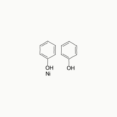 Oc1ccccc1.Oc1ccccc1.[Ni]